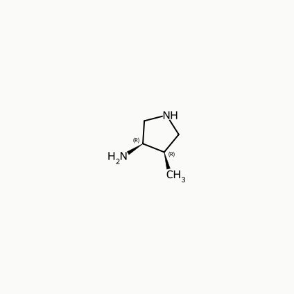 C[C@@H]1CNC[C@@H]1N